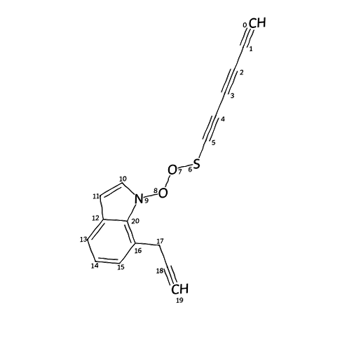 C#CC#CC#CSOOn1ccc2cccc(CC#C)c21